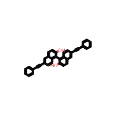 Oc1ccc2cc(C#Cc3ccccc3)ccc2c1-c1c(O)ccc2cc(C#Cc3ccccc3)ccc12